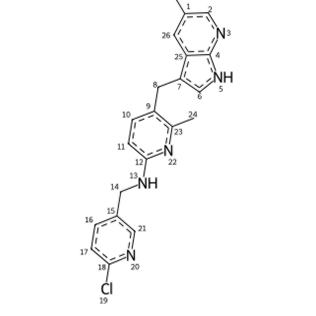 Cc1cnc2[nH]cc(Cc3ccc(NCc4ccc(Cl)nc4)nc3C)c2c1